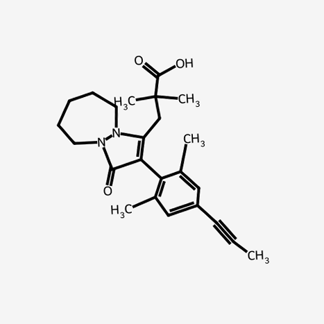 CC#Cc1cc(C)c(-c2c(CC(C)(C)C(=O)O)n3n(c2=O)CCCCC3)c(C)c1